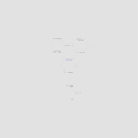 CC(C)(NC(=O)Cc1ccnc(-c2ccc(Cl)cc2-c2ccccc2)n1)C(=O)O